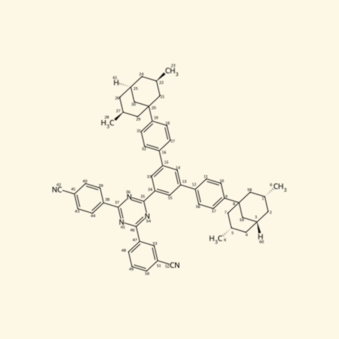 C[C@@H]1C[C@@H]2C[C@H](C)CC(c3ccc(-c4cc(-c5ccc(C67C[C@H](C)C[C@H](C[C@H](C)C6)C7)cc5)cc(-c5nc(-c6ccc(C#N)cc6)nc(-c6cccc(C#N)c6)n5)c4)cc3)(C1)C2